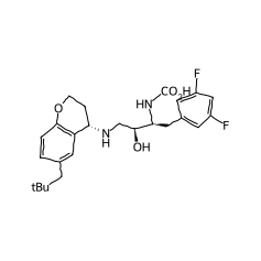 CC(C)(C)Cc1ccc2c(c1)[C@@H](NC[C@H](O)[C@H](Cc1cc(F)cc(F)c1)NC(=O)O)CCO2